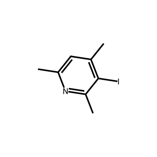 Cc1cc(C)c(I)c(C)n1